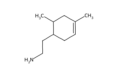 CC1=CCC(CCN)C(C)C1